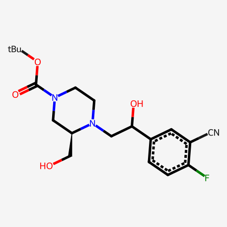 CC(C)(C)OC(=O)N1CCN(CC(O)c2ccc(F)c(C#N)c2)[C@@H](CO)C1